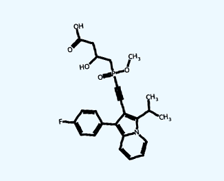 COP(=O)(C#Cc1c(-c2ccc(F)cc2)c2ccccn2c1C(C)C)CC(O)CC(=O)O